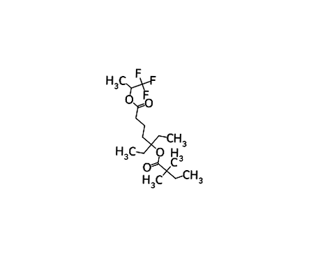 CCC(CC)(CCCC(=O)OC(C)C(F)(F)F)OC(=O)C(C)(C)CC